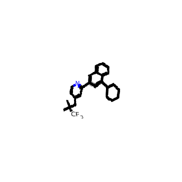 CC(C)(Cc1ccnc(-c2cc(C3CCCCC3)c3ccccc3c2)c1)C(F)(F)F